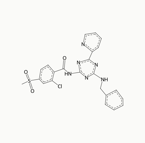 CS(=O)(=O)c1ccc(C(=O)Nc2nc(NCc3ccccc3)nc(-c3ccccn3)n2)c(Cl)c1